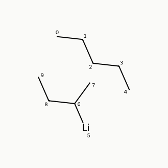 CCCCC.[Li][CH](C)CC